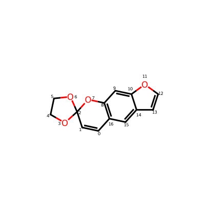 C1=CC2(OCCO2)Oc2cc3occc3cc21